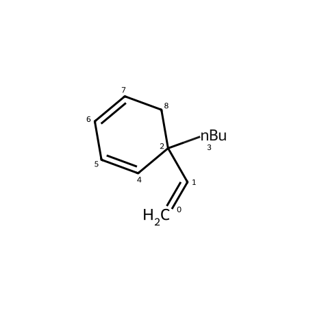 C=CC1(CCCC)C=CC=CC1